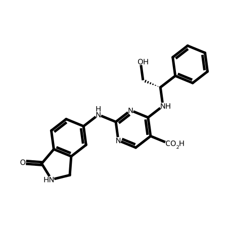 O=C1NCc2cc(Nc3ncc(C(=O)O)c(N[C@H](CO)c4ccccc4)n3)ccc21